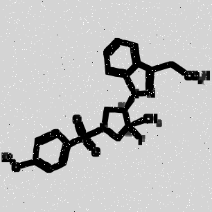 CCOc1ccc(S(=O)(=O)N2C[C@@H](n3nc(CC(=O)O)c4ccccc43)[C@](C)(F)C2)cc1